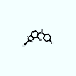 N#Cc1nc2c(Br)c(NC3CCC(=O)CC3)ccc2s1